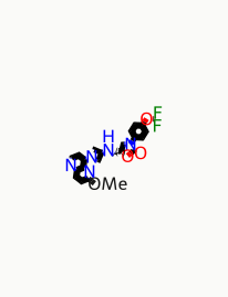 COc1ccc2nccc(N3CC(NC[C@@H]4CN(c5ccc(OC(F)F)cc5)C(=O)O4)C3)c2n1